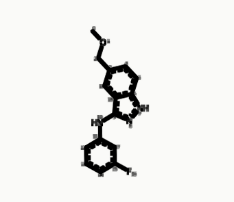 COCc1ccc2[nH]nc(Nc3cccc(F)c3)c2c1